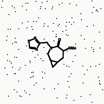 CNC1CC2CC2CN(Cc2ncsn2)C1=O